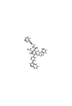 CCOC(=O)C1=C(c2ccc(-n3cnc4ccccc43)cc2)NC(C)=C(C(=O)OCC#Cc2cccnc2)C1CCc1ccccc1